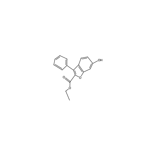 CCOC(=O)c1oc2cc(O)ccc2c1-c1ccccc1